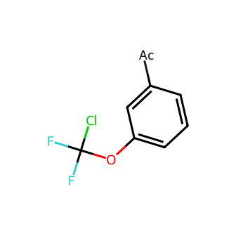 CC(=O)c1cccc(OC(F)(F)Cl)c1